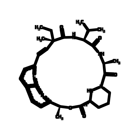 CC[C@]1(C)/C=C/c2ccc3ccc(nc3c2)[C@@H](C)OC(=O)[C@@H]2CCCN(N2)C(=O)[C@H](C)NC(=O)[C@H](C(C)C)NC1=O